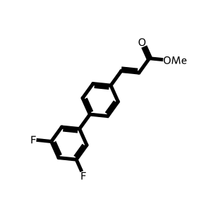 COC(=O)/C=C/c1ccc(-c2cc(F)cc(F)c2)cc1